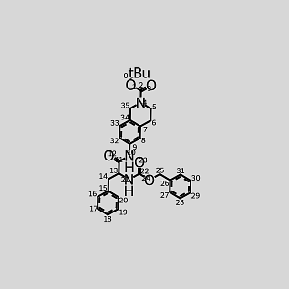 CC(C)(C)OC(=O)N1CCc2cc(NC(=O)C(Cc3ccccc3)NC(=O)OCc3ccccc3)ccc2C1